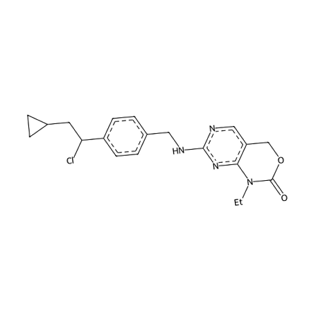 CCN1C(=O)OCc2cnc(NCc3ccc(C(Cl)CC4CC4)cc3)nc21